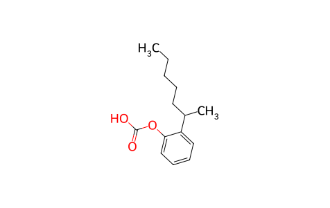 CCCCCC(C)c1ccccc1OC(=O)O